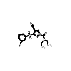 CCN(CC)C(=O)n1cc(C#N)c(S(=O)(=O)c2cccc(F)c2)n1